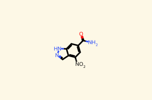 NC(=O)c1cc([N+](=O)[O-])c2cn[nH]c2c1